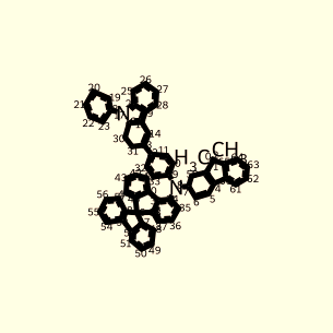 CC1(C)C2=C(C=CC(N(c3ccc(C4=Cc5c(n(-c6ccccc6)c6ccccc56)CC4)cc3)c3cccc4c3-c3ccccc3C43c4ccccc4-c4ccccc43)C2)c2ccccc21